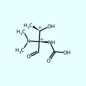 C[C@@H](O)[C@@](C=O)(NC(=O)O)N(C)C